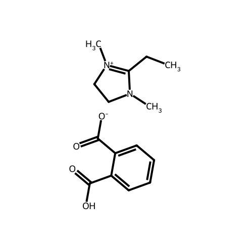 CCC1=[N+](C)CCN1C.O=C([O-])c1ccccc1C(=O)O